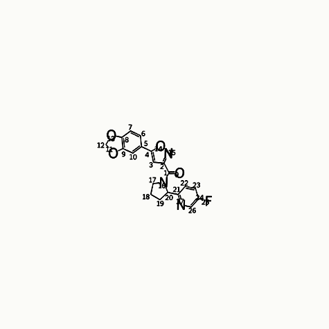 O=C(c1cc(-c2ccc3c(c2)OCO3)on1)N1CCCC1c1ccc(F)cn1